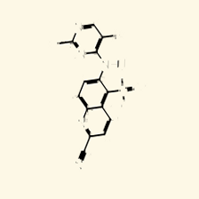 CP(C)(=O)c1c(Nc2nc(Cl)ncc2Br)ccc2nc(C#N)ccc12